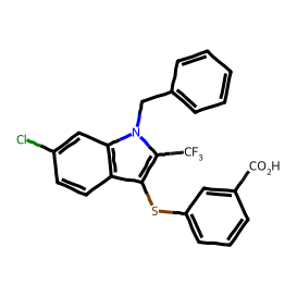 O=C(O)c1cccc(Sc2c(C(F)(F)F)n(Cc3ccccc3)c3cc(Cl)ccc23)c1